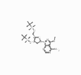 CSc1nn([C@H]2C[C@H](O[Si](C)(C)C(C)(C)C)[C@@H](CO[Si](C)(C)C(C)(C)C)O2)c2ncnc(N)c12